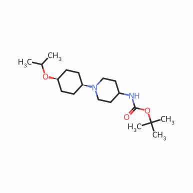 CC(C)O[C@H]1CC[C@@H](N2CCC(NC(=O)OC(C)(C)C)CC2)CC1